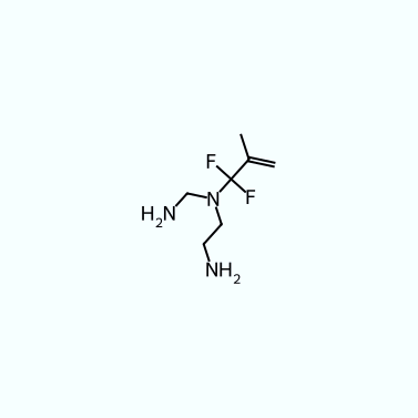 C=C(C)C(F)(F)N(CN)CCN